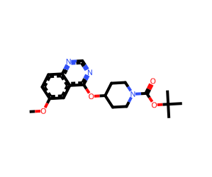 COc1ccc2ncnc(OC3CCN(C(=O)OC(C)(C)C)CC3)c2c1